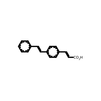 O=C(O)C=Cc1ccc(C=Cc2ccccc2)cc1